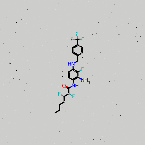 CCCC[C@@H](F)[C@H](F)C(=O)Nc1ccc(NCc2ccc(C(F)(F)F)cc2)c(F)c1N